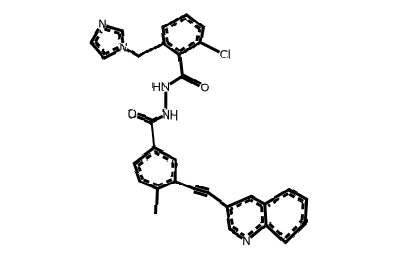 Cc1ccc(C(=O)NNC(=O)c2c(Cl)cccc2Cn2ccnc2)cc1C#Cc1cnc2ccccc2c1